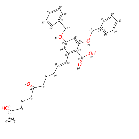 C[C@H](O)CCCC(=O)CCCC=Cc1cc(OCc2ccccc2)cc(OCc2ccccc2)c1C(=O)O